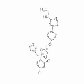 CCNc1nccc(-c2ccc(OC[C@@H]3CO[C@@](Cn4ccnc4)(c4ccc(Cl)cc4Cl)O3)cc2)n1